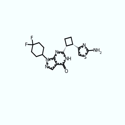 Nc1nc([C@H]2CC[C@H]2c2nc3c(cnn3C3CCC(F)(F)CC3)c(=O)[nH]2)cs1